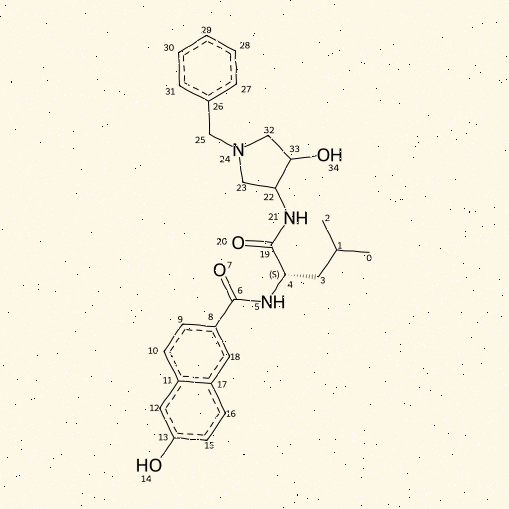 CC(C)C[C@H](NC(=O)c1ccc2cc(O)ccc2c1)C(=O)NC1CN(Cc2ccccc2)CC1O